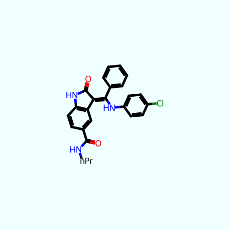 CCCNC(=O)c1ccc2c(c1)C(=C(Nc1ccc(Cl)cc1)c1ccccc1)C(=O)N2